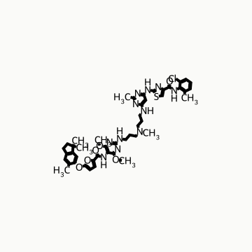 COc1nc(NCCCN(C)CCCNc2cc(Nc3nc(C(=O)Nc4c(C)cccc4Cl)cs3)nc(C)n2)nc(OC)c1NC(=O)c1ccc(Oc2cc3c(cc2C)CCC3(C)C)o1